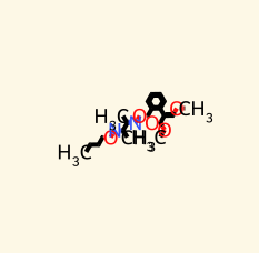 CCCCO/N=C(C)/C(C)=N/OCc1ccccc1/C(=C\OC)C(=O)OC